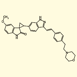 COc1ccc2c(c1)C1(CC1c1ccc3c(/C=C/c4ccc(CCN5CCOCC5)cc4)n[nH]c3c1)C(=O)N2